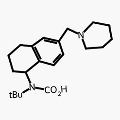 CC(C)(C)N(C(=O)O)C1CCCc2cc(CN3CCCCC3)ccc21